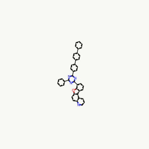 c1ccc(-c2ccc(-c3ccc(-c4nc(-c5ccccc5)nc(-c5cccc6c5oc5ccc7ncccc7c56)n4)cc3)cc2)cc1